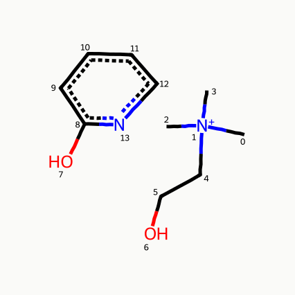 C[N+](C)(C)CCO.Oc1ccccn1